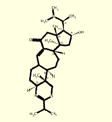 CC(C)C1=N[C@H]2CCC3C=C4C(=O)C[C@]5(C)[C@@H]([C@H](C)N(C)C)[C@H](O)C[C@@]5(C)[C@@H]4CC[C@H]3[C@]2(C)CO1